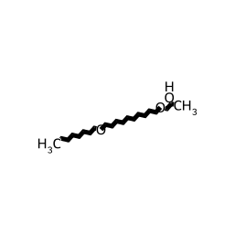 CCCCCCCCOCCCCCCCCCCOCC(C)O